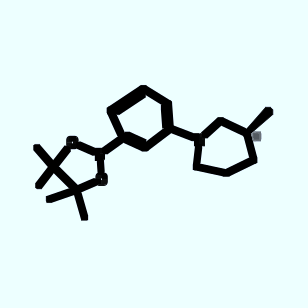 C[C@H]1CCCN(c2cccc(B3OC(C)(C)C(C)(C)O3)c2)C1